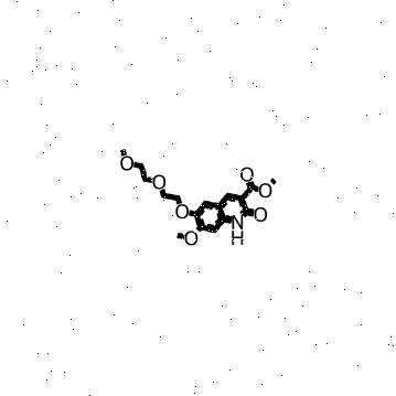 COCCOCCOc1cc2cc(C(=O)OC)c(=O)[nH]c2cc1OC